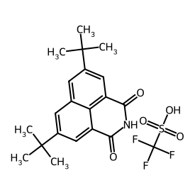 CC(C)(C)c1cc2c3c(cc(C(C)(C)C)cc3c1)C(=O)NC2=O.O=S(=O)(O)C(F)(F)F